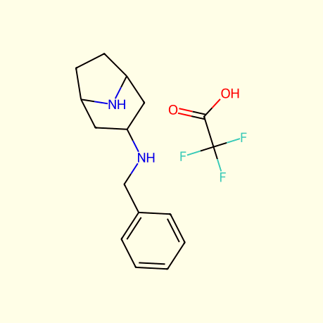 O=C(O)C(F)(F)F.c1ccc(CNC2CC3CCC(C2)N3)cc1